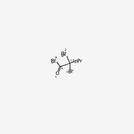 CCCC(Br)(Br)C(=O)Br